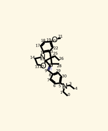 CCN(CC)c1ccc(/C=C/C23OCCN2c2ccc(OC)cc2C3(CC)CC)cc1